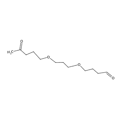 CC(=O)CCCOCCCOCCCC=O